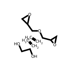 C(OCC1CO1)C1CO1.C=C.C=C.OCCO